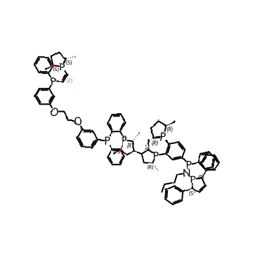 CCCCN(P(c1ccccc1)c1ccc(P2[C@H](C)CC[C@H]2C)c(P2[C@H](C)CC(C3C[C@@H](C)P(c4ccccc4P(c4ccccc4)c4cccc(OCCOc5cccc(P(/C=C\P6[C@@H](C)CC[C@@H]6C)c6ccccc6)c5)c4)[C@@H]3C)[C@H]2C)c1)P1[C@@H](c2ccccc2)C=C[C@H]1c1ccccc1